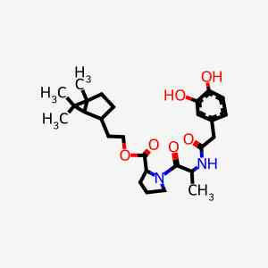 CC(NC(=O)Cc1ccc(O)c(O)c1)C(=O)N1CCCC1C(=O)OCCC1CCC2(C)C1C2(C)C